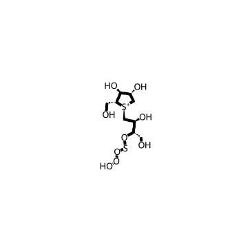 OC[C@H](OSOOO)[C@H](O)C[S@+]1C[C@@H](O)[C@H](O)[C@H]1CO